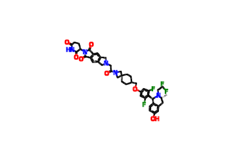 C[C@@H]1Cc2cc(O)ccc2[C@@H](c2c(F)cc(OCC3CCC4(CC3)CN(C(=O)CN3Cc5cc6c(cc5C3)C(=O)N(C3CCC(=O)NC3=O)C6=O)C4)cc2F)N1CC(F)F